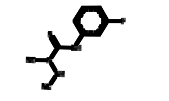 N#CNN(C#N)C(=S)Nc1cccc(F)c1